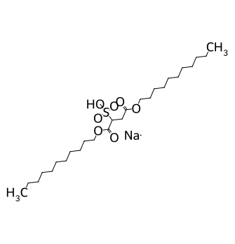 CCCCCCCCCCCOC(=O)CC(C(=O)OCCCCCCCCCCC)S(=O)(=O)O.[Na]